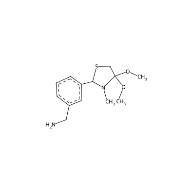 COC1(OC)CSC(c2cccc(CN)c2)N1C